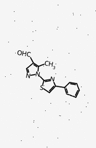 Cc1c(C=O)cnn1-c1nc(-c2ccccc2)cs1